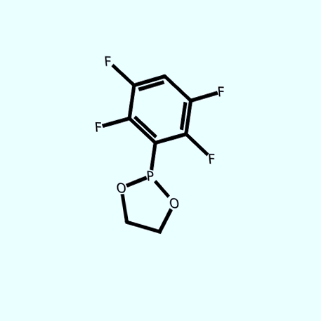 Fc1cc(F)c(F)c(P2OCCO2)c1F